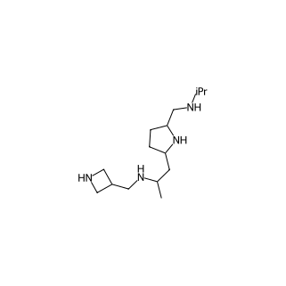 CC(C)NCC1CCC(CC(C)NCC2CNC2)N1